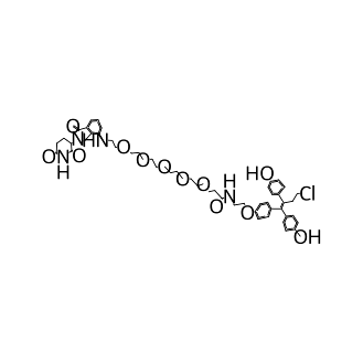 O=C(CCOCCOCCOCCOCCOCCNc1cccc2c1CN(C1CCC(=O)NC1=O)C2=O)NCCOc1ccc(C(=C(CCCl)c2ccc(O)cc2)c2ccc(O)cc2)cc1